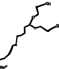 CCCCCCCCCCCCSCCCN(OCCO)OCCO